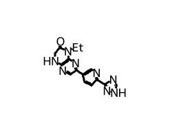 CCN1C(=O)CNc2ncc(-c3ccc(-c4nc[nH]n4)nc3)nc21